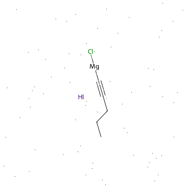 CCCC#[C][Mg][Cl].I